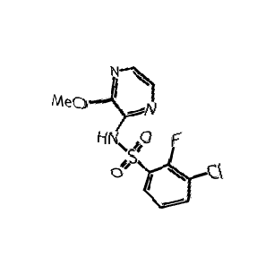 COc1nccnc1NS(=O)(=O)c1cccc(Cl)c1F